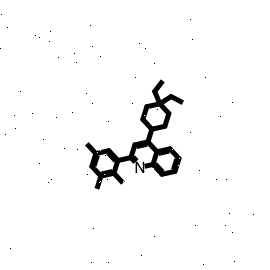 CCC1(CC)CCC(c2cc(-c3cc(C)cc(C)c3C)nc3ccccc23)CC1